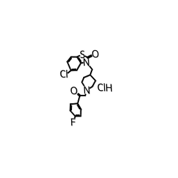 Cl.O=C(CN1CCC(Cn2c(=O)sc3ccc(Cl)cc32)CC1)c1ccc(F)cc1